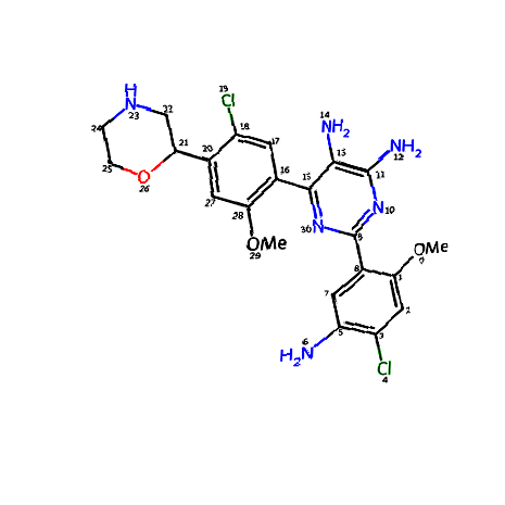 COc1cc(Cl)c(N)cc1-c1nc(N)c(N)c(-c2cc(Cl)c(C3CNCCO3)cc2OC)n1